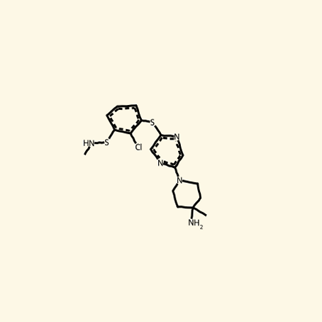 CNSc1cccc(Sc2cnc(N3CCC(C)(N)CC3)cn2)c1Cl